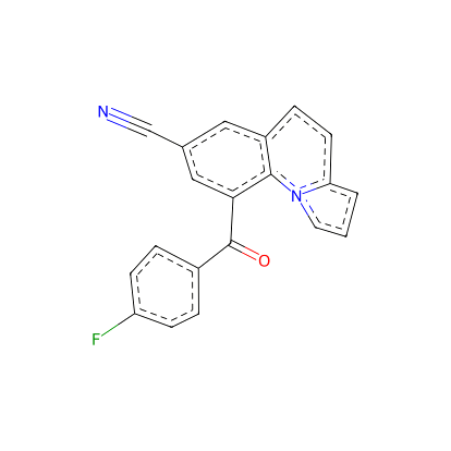 N#Cc1cc(C(=O)c2ccc(F)cc2)c2c(ccc3cccn32)c1